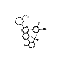 N#Cc1ccc(-c2nc(N3CCCC[C@H](N)C3)nc3ccc(-c4c(F)cccc4C(F)(F)F)cc23)cc1F